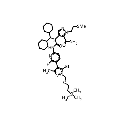 CCc1c(-c2ccc(NC(=O)[C@H](c3cnn(CCSC)c3C(N)=O)C(C3CCCCC3)C3CCCCC3)nc2F)c(C)nn1COCC[Si](C)(C)C